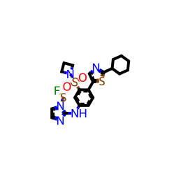 O=S(=O)(c1cc(Nc2nccn2SF)ccc1-c1cnc(C2CCCCC2)s1)N1CCC1